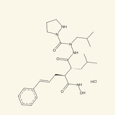 CC(C)C[C@@H](C(=O)NN(CC(C)C)C(=O)N1CCCN1)[C@H](CC=Cc1ccccc1)C(=O)NO.Cl